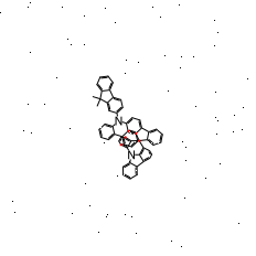 CC1(C)c2ccccc2-c2ccc(N(c3ccc4c(c3)C3(c5ccccc5-4)c4ccccc4-n4c5ccccc5c5cccc3c54)c3ccccc3-c3ccccc3)cc21